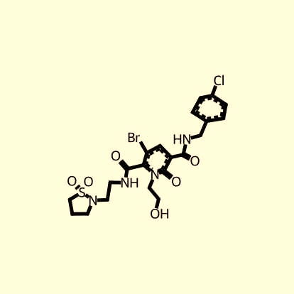 O=C(NCc1ccc(Cl)cc1)c1cc(Br)c(C(=O)NCCN2CCCS2(=O)=O)n(CCO)c1=O